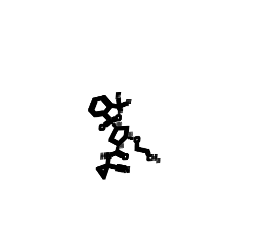 CCCO[C@H]1C[C@@H](S(=O)(=O)c2ccccc2C(F)(F)F)C[C@@H]1C(=O)NC1(C#N)CC1